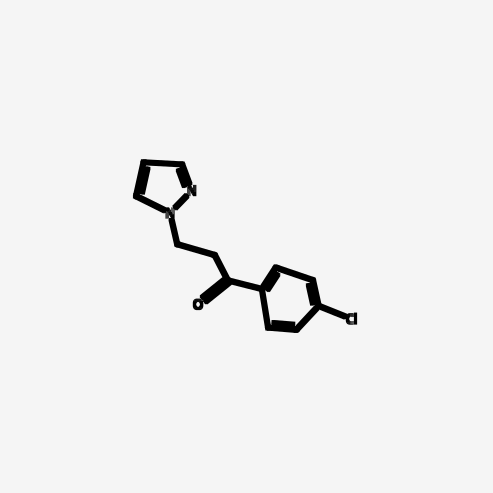 O=C(CCn1cccn1)c1ccc(Cl)cc1